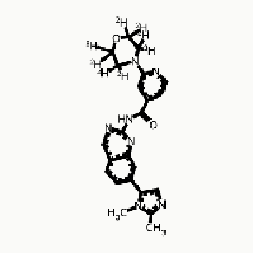 [2H]C1([2H])OC([2H])([2H])C([2H])([2H])N(c2cc(C(=O)Nc3ncc4ccc(-c5cnc(C)n5C)cc4n3)ccn2)C1([2H])[2H]